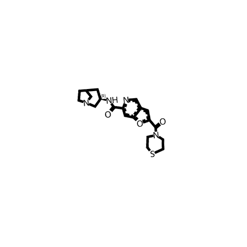 O=C(N[C@@H]1CC2CCN(C2)C1)c1cc2oc(C(=O)N3CCSCC3)cc2cn1